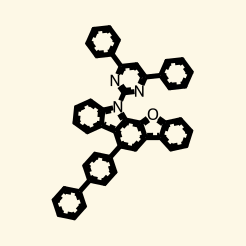 c1ccc(-c2ccc(-c3cc4c5ccccc5oc4c4c3c3ccccc3n4-c3nc(-c4ccccc4)cc(-c4ccccc4)n3)cc2)cc1